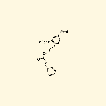 CCCCCc1ccc(CCCOC(=O)OCc2ccccc2)c(CCCCC)c1